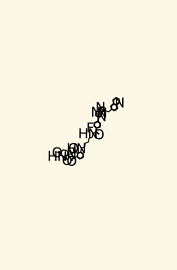 O=C1CCC(N2C(=O)c3cccc(NCCCCCNC(=O)c4ccc(-c5cnc6ncc(Cc7ccc8ncccc8c7)n6n5)cc4F)c3C2=O)C(=O)N1